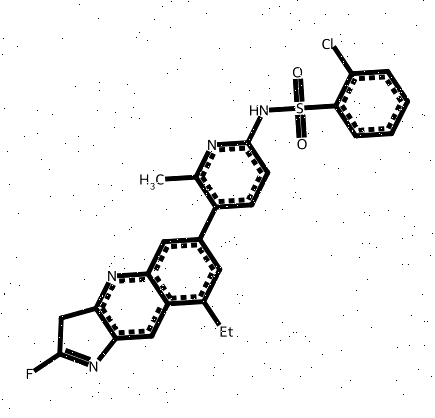 CCc1cc(-c2ccc(NS(=O)(=O)c3ccccc3Cl)nc2C)cc2nc3c(cc12)N=C(F)C3